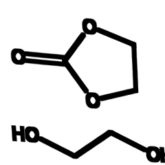 O=C1OCCO1.OCCO